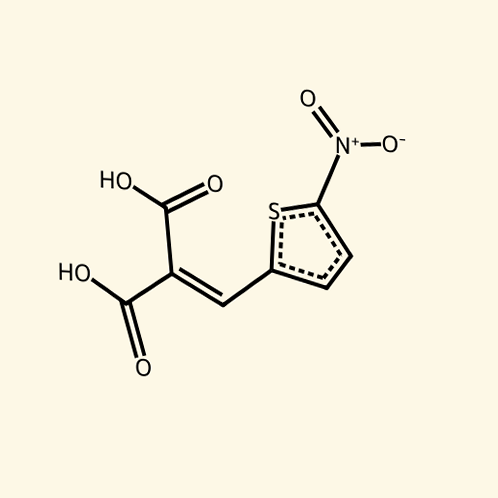 O=C(O)C(=Cc1ccc([N+](=O)[O-])s1)C(=O)O